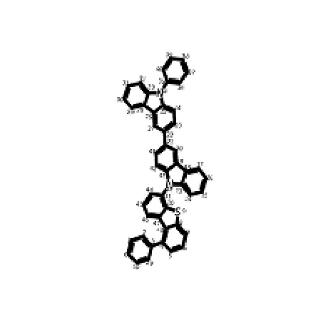 c1ccc(-c2cccc3sc4c(-n5c6ccccc6c6cc(-c7ccc8c(c7)c7ccccc7n8-c7ccccc7)ccc65)cccc4c23)cc1